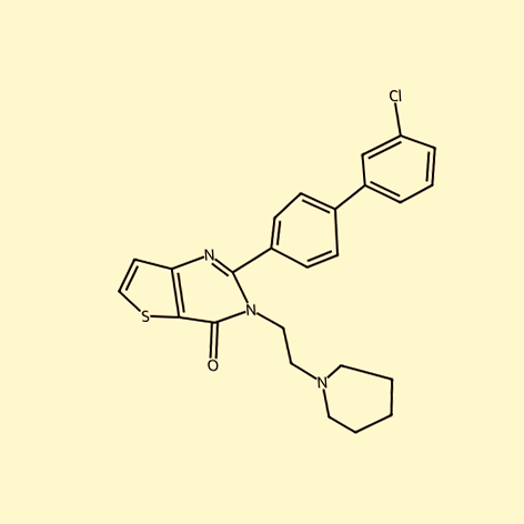 O=c1c2sccc2nc(-c2ccc(-c3cccc(Cl)c3)cc2)n1CCN1CCCCC1